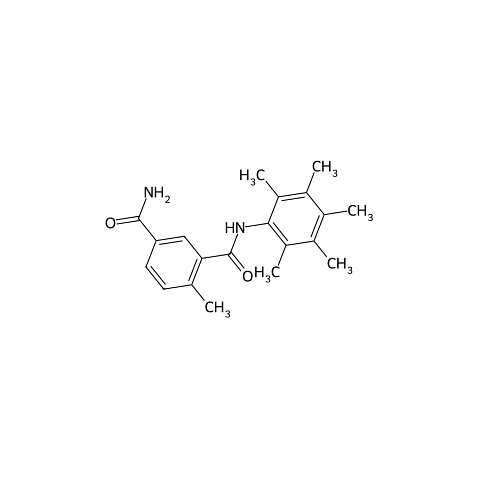 Cc1ccc(C(N)=O)cc1C(=O)Nc1c(C)c(C)c(C)c(C)c1C